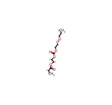 CCCOOCCOC(=O)OCCOC(=O)CC